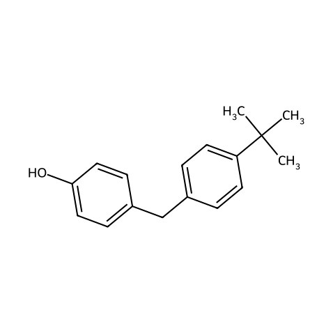 CC(C)(C)c1ccc(Cc2ccc(O)cc2)cc1